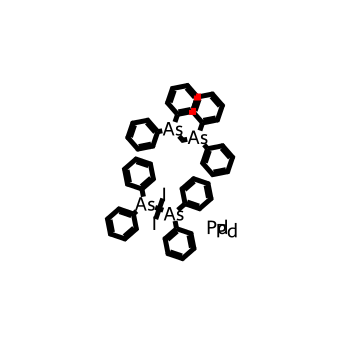 IC(I)([As](c1ccccc1)c1ccccc1)[As](c1ccccc1)c1ccccc1.[Pd].[Pd].c1ccc([As](C[As](c2ccccc2)c2ccccc2)c2ccccc2)cc1